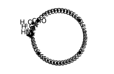 CC(C)(C=O)N1CCCCCCCCCCCCCCCCCCCCCCCCCCCCCCCCCCCCCCCCCCCCCCCCC2(CCNC2=O)CC1